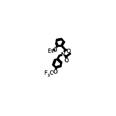 CCOc1ccccc1C1OCC(=O)N1Cc1ccc(OC(F)(F)F)cc1